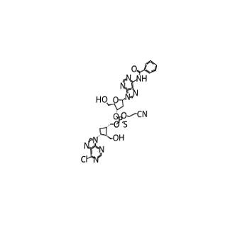 N#CCCOP(=S)(OC[C@H]1C[C@@H](n2cnc3c(Cl)ncnc32)[C@@H]1CO)O[C@H]1C[C@H](n2cnc3c(NC(=O)c4ccccc4)ncnc32)O[C@@H]1CO